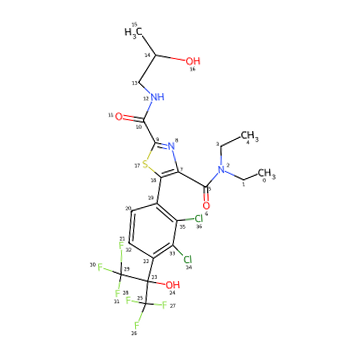 CCN(CC)C(=O)c1nc(C(=O)NCC(C)O)sc1-c1ccc(C(O)(C(F)(F)F)C(F)(F)F)c(Cl)c1Cl